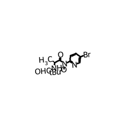 C[C@H](NC=O)C(=O)N(OC(C)(C)C)c1ccc(Br)cn1